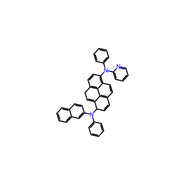 C1=CC(N(c2ccccc2)c2ccc3ccccc3c2)C2=CCc3ccc(N(c4ccccc4)c4ccccn4)c4ccc1c2c34